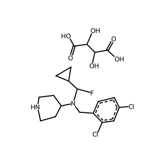 FC(C1CC1)N(Cc1ccc(Cl)cc1Cl)C1CCNCC1.O=C(O)C(O)C(O)C(=O)O